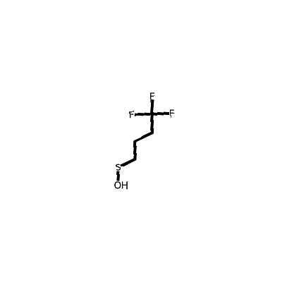 OSCCCC(F)(F)F